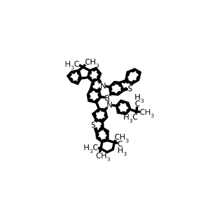 CC(C)(C)c1ccc(N2B3c4cc5sc6ccccc6c5cc4-n4c5ccc6c(c5c5ccc(c3c54)-c3cc4sc5cc7c(cc5c4cc32)C(C)(C)CCC7(C)C)-c2ccccc2C6(C)C)cc1